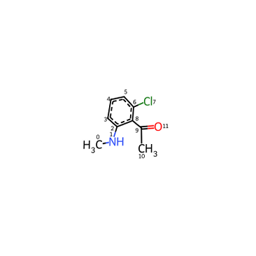 CNc1cccc(Cl)c1C(C)=O